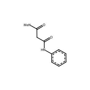 CNC(=O)CC(=O)Nc1ccccc1